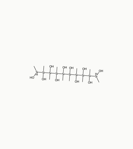 C[SiH](O)[Si](C)(O)[Si](C)(O)[Si](C)(O)[Si](C)(O)[Si](C)(O)[Si](C)(O)[Si](C)(O)[Si](C)(O)[SiH](C)O